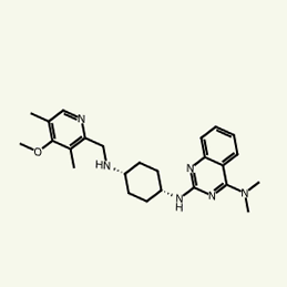 COc1c(C)cnc(CN[C@H]2CC[C@@H](Nc3nc(N(C)C)c4ccccc4n3)CC2)c1C